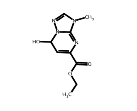 CCOC(=O)C1=CC(O)N2N=CN(C)C2=N1